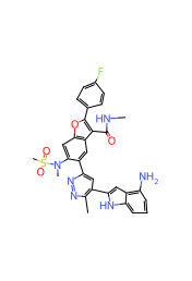 CNC(=O)c1c(-c2ccc(F)cc2)oc2cc(N(C)S(C)(=O)=O)c(-c3cc(-c4cc5c(N)cccc5[nH]4)c(C)nn3)cc12